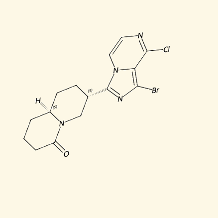 O=C1CCC[C@H]2CC[C@H](c3nc(Br)c4c(Cl)nccn34)CN12